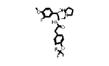 COc1ccc([C@@H](O)[C@@H](CN2CCCC2)NC(=O)Cc2ccc(OC(F)(F)F)cc2)cc1F